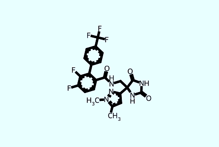 Cc1cc(C2(CNC(=O)c3ccc(F)c(F)c3-c3ccc(C(F)(F)F)cc3)NC(=O)NC2=O)nn1C